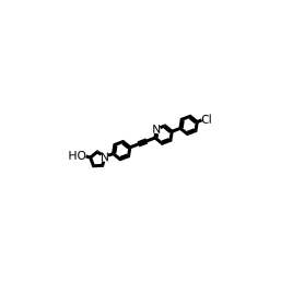 OC1CCN(c2ccc(C#Cc3ccc(-c4ccc(Cl)cc4)cn3)cc2)C1